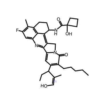 CCCCCc1c(C(CC)/C(C)=C\O)cc2n(c1=O)Cc1c-2nc2cc(F)c(C)c3c2c1C(NC(=O)C1(O)CCC1)CC3